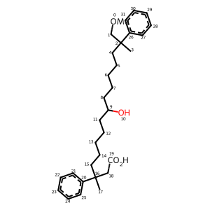 COCC(C)(CCCCCC(O)CCCCCC(C)(CC(=O)O)c1ccccc1)c1ccccc1